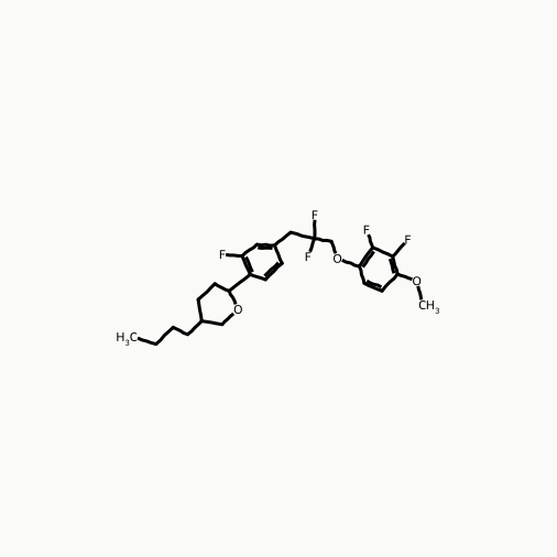 CCCCC1CCC(c2ccc(CC(F)(F)COc3ccc(OC)c(F)c3F)cc2F)OC1